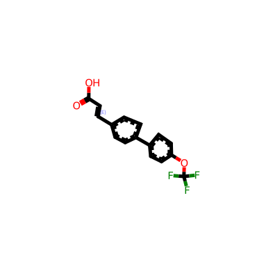 O=C(O)/C=C/c1ccc(-c2ccc(OC(F)(F)F)cc2)cc1